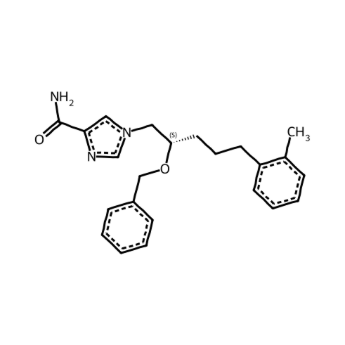 Cc1ccccc1CCC[C@@H](Cn1cnc(C(N)=O)c1)OCc1ccccc1